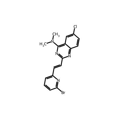 CN(C)c1nc(C=Cc2cccc(Br)n2)nc2ccc(Cl)cc12